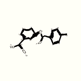 Cc1ccc(C(=O)Oc2cccc(C(=O)O)c2)cc1